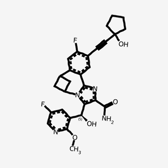 COc1ncc(F)cc1[C@H](O)c1c(C(N)=O)nc2n1C1CC(C1)c1cc(F)c(C#CC3(O)CCCC3)cc1-2